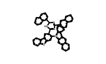 c1ccc2cc(C3=NC(c4cccc5ccccc45)NC(c4cc5c(cc4-n4c6ccccc6c6cc7ccccc7cc64)oc4ccccc45)=N3)ccc2c1